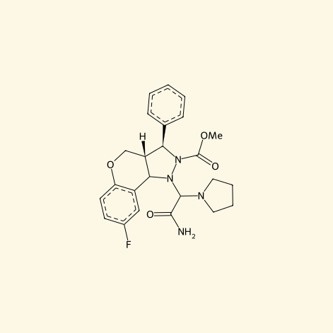 COC(=O)N1[C@H](c2ccccc2)[C@H]2COc3ccc(F)cc3C2N1C(C(N)=O)N1CCCC1